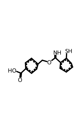 N=C(OCc1ccc(C(=O)O)cc1)c1ccccc1S